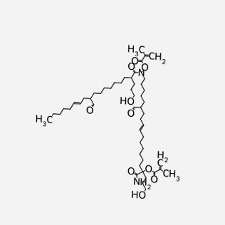 C=C(C)C(=O)ON(CCCCCC(C=O)CCC=CCCCCCCC(CCCO)(OC(=O)C(=C)C)C(N)=O)C(=O)C(CCCO)CCCCCCCC(C=O)CC=CCCCCC